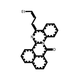 CC/C=C\C=c1\nc2c3cccc4cccc(c(=O)n2c2ccccc12)c43